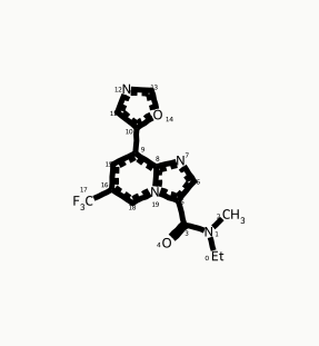 CCN(C)C(=O)c1cnc2c(-c3cnco3)cc(C(F)(F)F)cn12